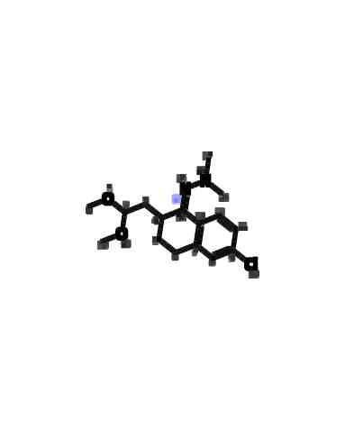 COC(CC1CCc2cc(Cl)ccc2/C1=N\N(C)C)OC